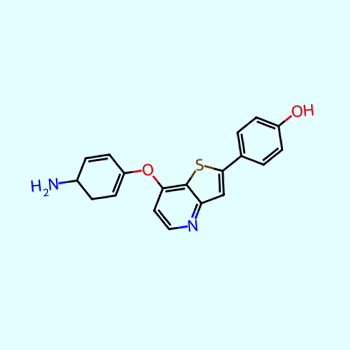 NC1C=CC(Oc2ccnc3cc(-c4ccc(O)cc4)sc23)=CC1